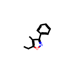 CCc1onc(-c2ccccc2)c1C